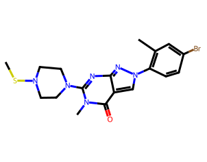 CSN1CCN(c2nc3nn(-c4ccc(Br)cc4C)cc3c(=O)n2C)CC1